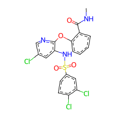 CNC(=O)c1ccccc1Oc1ncc(Cl)cc1NS(=O)(=O)c1ccc(Cl)c(Cl)c1